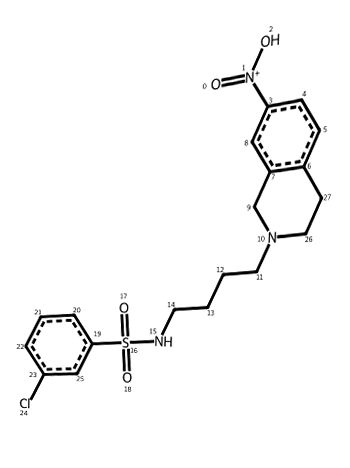 O=[N+](O)c1ccc2c(c1)CN(CCCCNS(=O)(=O)c1cccc(Cl)c1)CC2